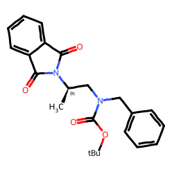 C[C@H](CN(Cc1ccccc1)C(=O)OC(C)(C)C)N1C(=O)c2ccccc2C1=O